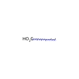 C\C=C/C=C/C(C)=C/C=C/C=C(C)/C=C/C=C(C)/C=C/C=C(C)/C=C/C=C(\C)C(=O)O